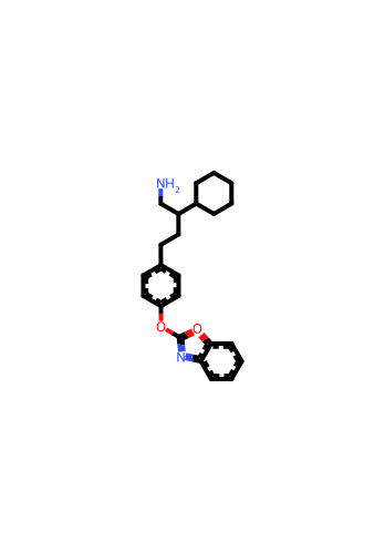 NCC(CCc1ccc(Oc2nc3ccccc3o2)cc1)C1CCCCC1